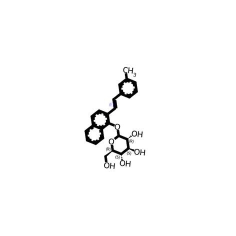 Cc1cccc(/C=C/c2ccc3ccccc3c2OC2O[C@H](CO)[C@@H](O)[C@H](O)[C@H]2O)c1